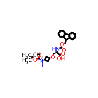 CC(C)(C)OC(=O)N[C@H]1C[C@H](OC[C@@H](NC(=O)OCC2c3ccccc3-c3ccccc32)C(=O)O)C1